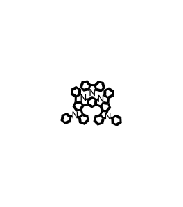 c1ccc(-n2c3ccccc3c3c4c5cc6c7c8c9ccccc9n(-c9ccccc9)c8cc8c9ccccc9n(c6c(-n6c9ccccc9c9ccccc96)c5n5c6ccccc6c(cc32)c45)c87)cc1